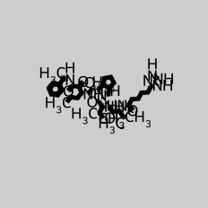 CCCC(NC(=O)[C@@H]1[C@H]2CCC[C@H]2CN1C(=O)[C@@H](NC(=O)[C@@H](NC(=O)CCCCC1=NNNN1)C(C)C)C(C)C)C(=O)C(=O)N[C@H](C)c1ccccc1